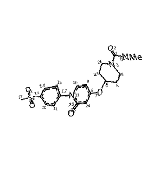 CNC(=O)N1CCC(Oc2ccn(-c3ccc(S(C)(=O)=O)cc3)c(=O)c2)CC1